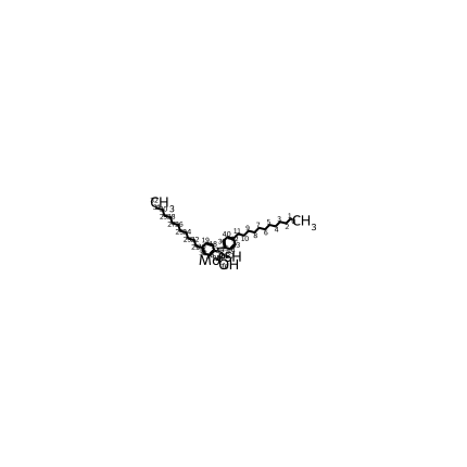 CCCCCCCCCCCCc1ccc(S(c2ccc(CCCCCCCCCCCC)cc2)=[P](O)(S)[Mo])cc1